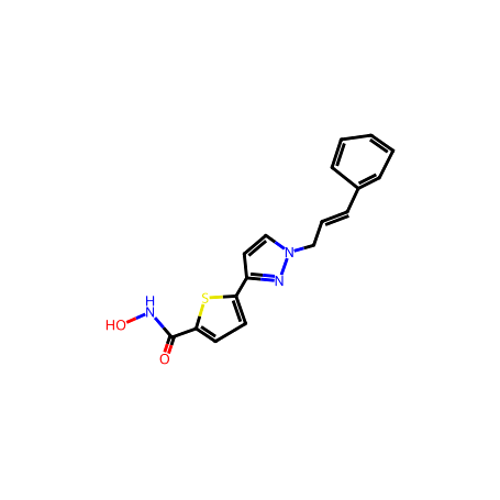 O=C(NO)c1ccc(-c2ccn(CC=Cc3ccccc3)n2)s1